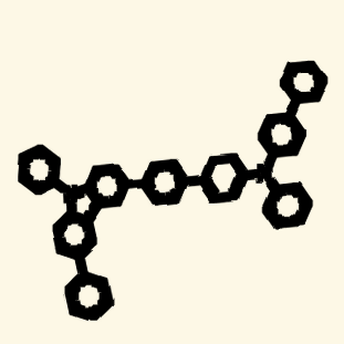 C1=C(c2ccc(-c3ccc4c(c3)c3cc(-c5ccccc5)ccc3n4-c3ccccc3)cc2)CCC(N(c2ccccc2)c2ccc(-c3ccccc3)cc2)=C1